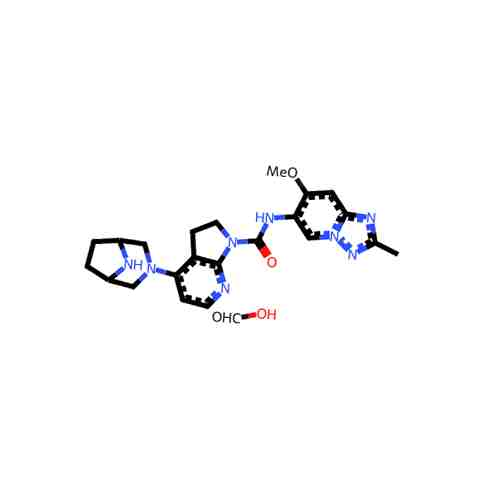 COc1cc2nc(C)nn2cc1NC(=O)N1CCc2c(N3CC4CCC(C3)N4)ccnc21.O=CO